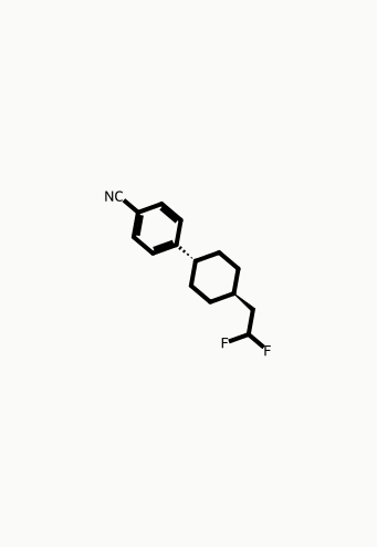 N#Cc1ccc([C@H]2CC[C@H](CC(F)F)CC2)cc1